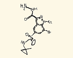 CCn1nc(C(=O)NN)c2cc(S(=O)(=O)NC3(C)CC3)cc(Br)c21